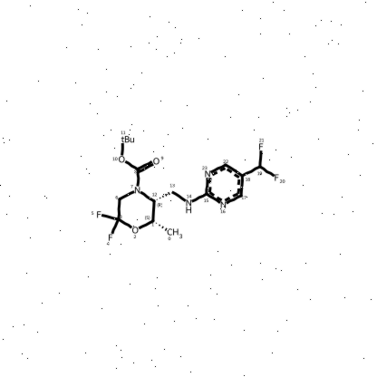 C[C@@H]1OC(F)(F)CN(C(=O)OC(C)(C)C)[C@@H]1CNc1ncc(C(F)F)cn1